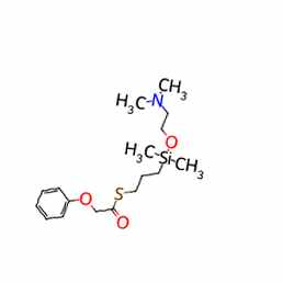 CN(C)CCO[Si](C)(C)CCCSC(=O)COc1ccccc1